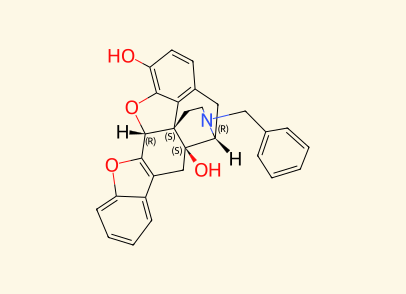 Oc1ccc2c3c1O[C@H]1c4oc5ccccc5c4C[C@@]4(O)[C@@H](C2)N(Cc2ccccc2)CC[C@]314